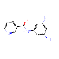 Nc1cc(N)cc(NC(=O)c2cccnc2)c1